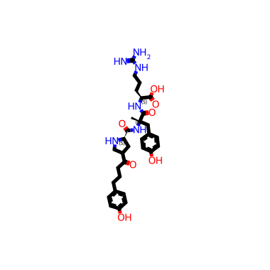 C[C@@](Cc1ccc(O)cc1)(NC(=O)[C@@H]1CC(C(=O)CCCc2ccc(O)cc2)CN1)C(=O)N[C@@H](CCCNC(=N)N)C(=O)O